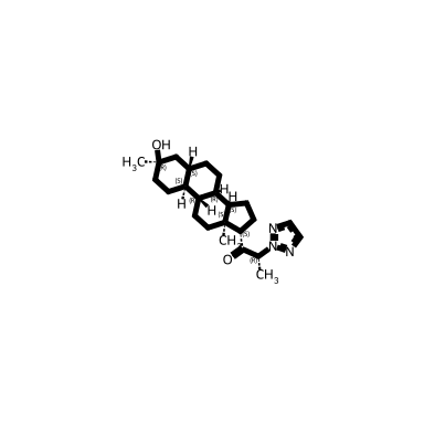 C[C@H](C(=O)[C@H]1CC[C@H]2[C@@H]3CC[C@H]4C[C@](C)(O)CC[C@@H]4[C@H]3CC[C@]12C)n1nccn1